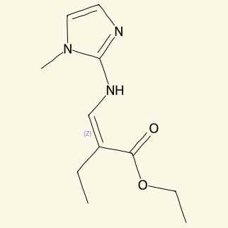 CCOC(=O)/C(=C\Nc1nccn1C)CC